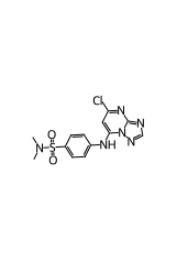 CN(C)S(=O)(=O)c1ccc(Nc2cc(Cl)nc3ncnn23)cc1